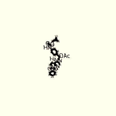 CC(=O)OC(c1nc2cnc3c(ccn3S(=O)(=O)c3ccccc3)c2[nH]1)C1CCC(NC(=O)OCC2CC2)CC1